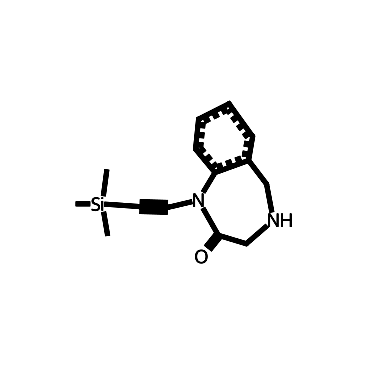 C[Si](C)(C)C#CN1C(=O)CNCc2ccccc21